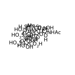 CC(=O)N[C@@H]1[C@@H](O)[C@H](O[C@@H]2O[C@H](C(=O)O)[C@@H](O[C@@H]3O[C@H](CO)[C@@H](O[C@H]4O[C@@H](C(=O)O)[C@H](O)[C@@H](O)[C@@H]4OS(=O)(=O)O)[C@H](OS(=O)(=O)O)[C@H]3NS(=O)(=O)O)[C@H](O)[C@H]2OS(=O)(=O)O)[C@H](COS(=O)(=O)O)O[C@H]1O.[SiH3][Mo]